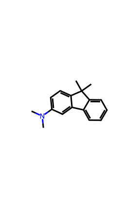 CN(C)c1ccc2c(c1)-c1ccccc1C2(C)C